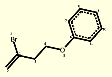 C=C(Br)CCOc1ccccc1